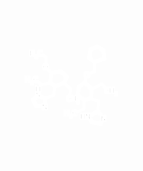 CCOc1ccc(CC)c(Cc2ncc[nH]2)c1CC.CCc1ccc(OCc2ccccc2)c(CC)c1Cc1ncc[nH]1